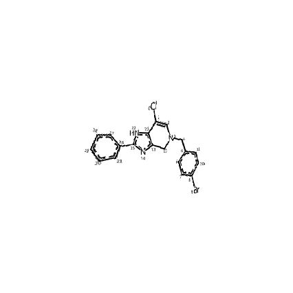 ClC1=CN(Cc2ccc(Br)cc2)Cc2nc(-c3ccccc3)[nH]c21